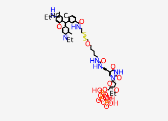 CC/N=c1/cc2oc3cc(NCC)c(C)cc3c(-c3cc(C(=O)NCCSSCOCCCCCNC(=O)NC#Cc4cn([C@H]5CC(OCC)[C@@H](COP(=O)(O)OP(=O)(O)OP(=O)(O)O)O5)c(=O)[nH]c4=O)ccc3C(=O)O)c-2cc1C